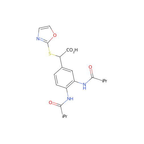 CC(C)C(=O)Nc1ccc(C(Sc2ncco2)C(=O)O)cc1NC(=O)C(C)C